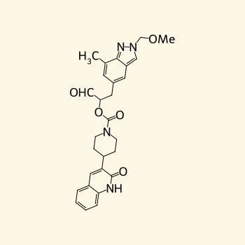 COCn1cc2cc(CC(C=O)OC(=O)N3CCC(c4cc5ccccc5[nH]c4=O)CC3)cc(C)c2n1